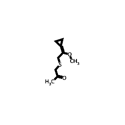 COC(CSCC(C)=O)=C1CC1